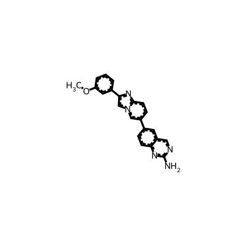 COc1cccc(-c2cn3cc(-c4ccc5nc(N)ncc5c4)ccc3n2)c1